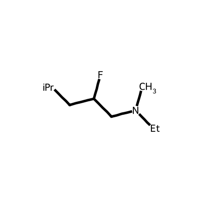 CCN(C)CC(F)CC(C)C